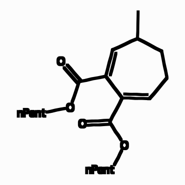 CCCCCOC(=O)C1=CCCC(C)C=C1C(=O)OCCCCC